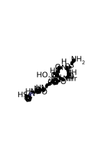 CC(C)C1NC(=O)[C@@H](Cc2ccc(OCCCNC(=O)c3ccc(N/N=C/c4ccccc4S)nc3)cc2)NC(=O)[C@H](CC(=O)O)NC(=O)CNC(=O)[C@H](CCSCCN)NC1=O